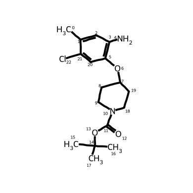 Cc1cc(N)c(OC2CCN(C(=O)OC(C)(C)C)CC2)cc1Cl